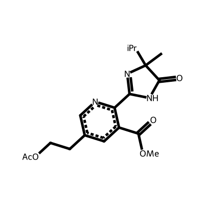 COC(=O)c1cc(CCOC(C)=O)cnc1C1=NC(C)(C(C)C)C(=O)N1